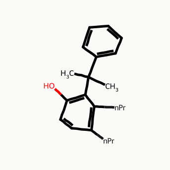 CCCc1ccc(O)c(C(C)(C)c2ccccc2)c1CCC